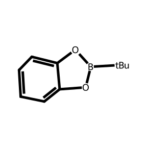 CC(C)(C)B1Oc2ccccc2O1